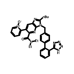 CCCCc1nc2cc(-c3cccc[n+]3[O-])c(C(=O)N(CC)CC)nc2n1Cc1ccc(-c2ccccc2-c2nnn[nH]2)cc1